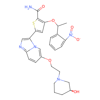 CC(Oc1cc(-c2cnc3ccc(OCCN4CCC[C@H](O)C4)cn23)sc1C(N)=O)c1ccccc1[N+](=O)[O-]